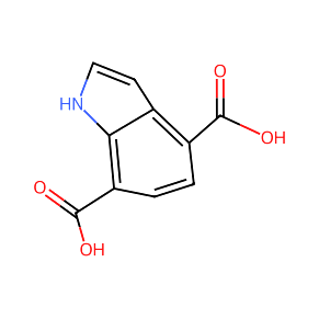 O=C(O)c1ccc(C(=O)O)c2[nH]ccc12